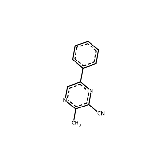 Cc1ncc(-c2ccccc2)nc1C#N